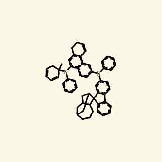 CC1(N(c2ccccc2)c2cc3c(c4cc(N(c5ccccc5)c5ccc6c(c5)C5(c7ccccc7-6)C6CC7CCCC5C(C7)C6)ccc24)C=CCC3)C=CC=CC1